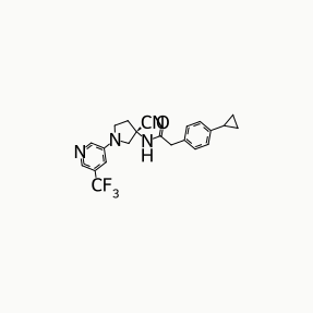 N#C[C@]1(NC(=O)Cc2ccc(C3CC3)cc2)CCN(c2cncc(C(F)(F)F)c2)C1